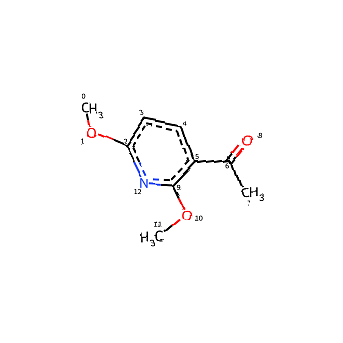 COc1ccc(C(C)=O)c(OC)n1